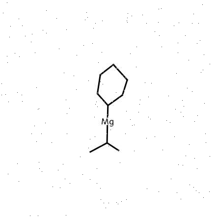 C[CH](C)[Mg][CH]1CCCCC1